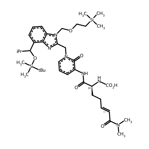 CC(C)C(O[Si](C)(C)C(C)(C)C)c1cccc2c1nc(Cn1cccc(NC(=O)[C@H](CC/C=C/C(=O)N(C)C)NC(=O)O)c1=O)n2COCC[Si](C)(C)C